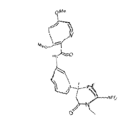 COc1cnc(C(=O)Nc2cccc(C3(C)CC(=O)N(C)C(N)=N3)c2)c(OC)c1